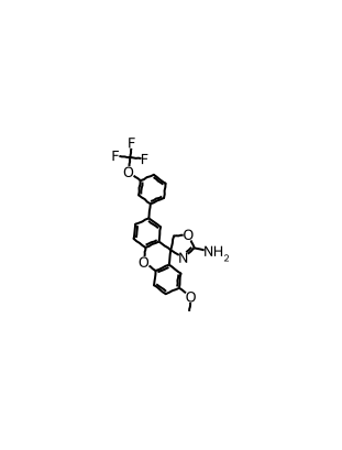 COc1ccc2c(c1)C1(COC(N)=N1)c1cc(-c3cccc(OC(F)(F)F)c3)ccc1O2